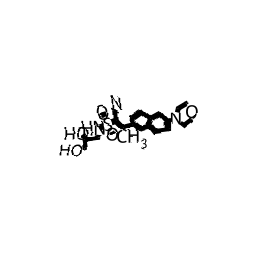 C/C(=C(/C#N)S(=O)(=O)NCC(O)CO)c1ccc2cc(N3CCOCC3)ccc2c1